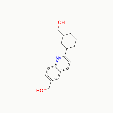 OCc1ccc2nc(C3CCCC(CO)C3)ccc2c1